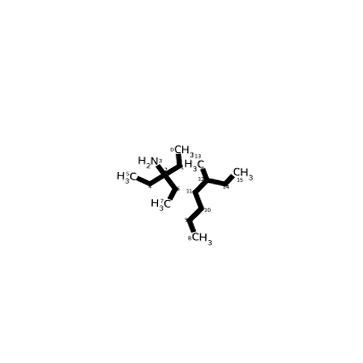 CCC(N)(CC)CC.CCCCC(C)CC